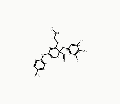 Cc1ccc(NC2=CCC(C=O)(Cc3cc(F)c(F)c(F)c3)C(CCNN)=C2)cc1